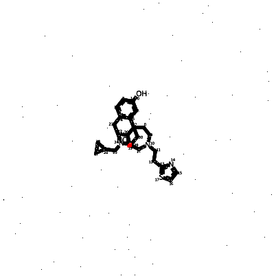 Oc1ccc2c(c1)C13CCN(CCc4nccs4)CCC1(O)C(C2)N(CC1CC1)CC3